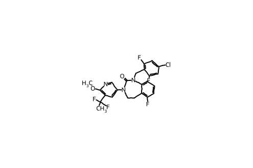 COc1ncc(N2CCc3c(F)cccc3N(Cc3c(F)cc(Cl)cc3F)C2=O)cc1C(C)(F)F